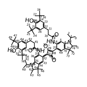 CC(C)N1c2cc(NC(=O)CCc3cc(C(C)(C)C)c(O)c(C(C)(C)C)c3)c(C3=C([O-])/C(=c4/cc5c(cc4NC(=O)CCc4cc(C(C)(C)C)c(O)c(C(C)(C)C)c4)=[N+](C(C)C)C(C)C5(C)C)C3=O)cc2C(C)(C)C1C